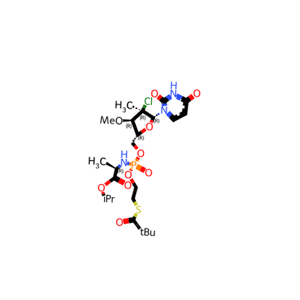 CO[C@@H]1[C@@H](COP(=O)(N[C@H](C)C(=O)OC(C)C)OCCSC(=O)C(C)(C)C)O[C@@H](n2ccc(=O)[nH]c2=O)[C@]1(C)Cl